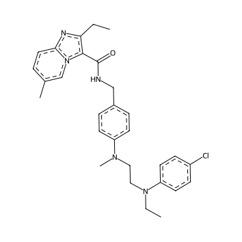 CCc1nc2ccc(C)cn2c1C(=O)NCc1ccc(N(C)CCN(CC)c2ccc(Cl)cc2)cc1